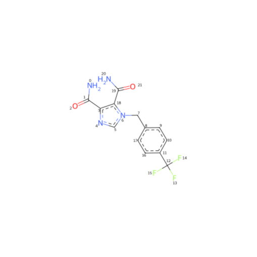 NC(=O)c1ncn(Cc2ccc(C(F)(F)F)cc2)c1C(N)=O